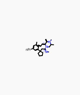 C=C/C=C1/C(=C)N(C)C(C)CN1/C(CC1(c2cc(C)cc(CCC)c2)CCCC1)=N\C